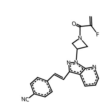 C=C(F)C(=O)N1CC(n2nc(/C=C/c3ccc(C#N)cc3)c3cccnc32)C1